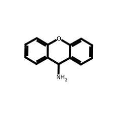 N[C]1c2ccccc2Oc2ccccc21